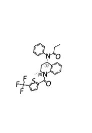 CCC(=O)N(c1ccccc1)[C@H]1C[C@@H](C)N(C(=O)c2ccc(C(F)(F)F)s2)c2ccccc21